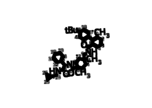 Cc1cccc(C(=O)NCC2(C)CCC(C)(C(=O)N[C@H](C(=O)NCC3CC3)c3ccccc3)CC2)c1-c1ccc(C(C)(C)C)cc1